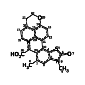 Cc1cc2c(sc(=O)n2C)c(-c2ccc3c4c(ccnc24)CCO3)c1CC(=O)O